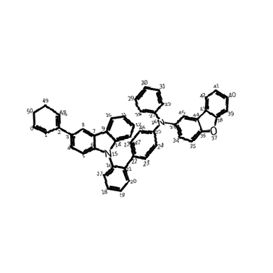 C1=CC(c2ccc3c(c2)c2ccccc2n3-c2ccccc2-c2ccc(N(c3ccccc3)c3ccc4oc5ccccc5c4c3)cc2)=CCC1